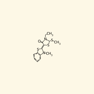 CCN1C(=O)C(=C2Sc3ccccc3N2C)SC1SC